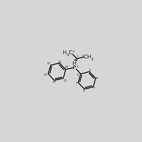 CC(C)=[PH](c1ccccc1)c1ccccc1